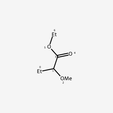 [CH2]CC(OC)C(=O)OCC